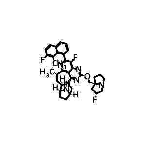 Cc1c(F)ccc2cccc(-c3nc4c5c(nc(OC[C@@]67CCCN6C[C@H](F)C7)nc5c3F)N3C[C@H]5CC[C@H](N5)[C@H]3C[C@@H]4C)c12